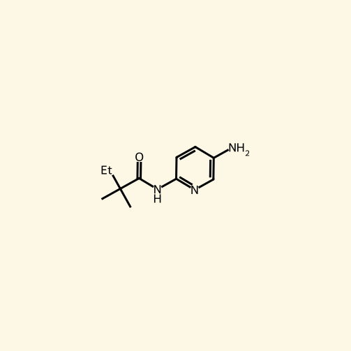 CCC(C)(C)C(=O)Nc1ccc(N)cn1